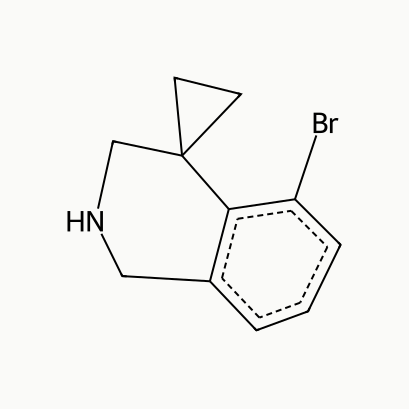 Brc1cccc2c1C1(CC1)CNC2